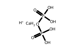 O=P(O)(O)OP(=O)(O)O.[CaH2].[H+]